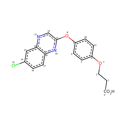 O=C(O)CCOc1ccc(Oc2cnc3cc(Cl)ccc3n2)cc1